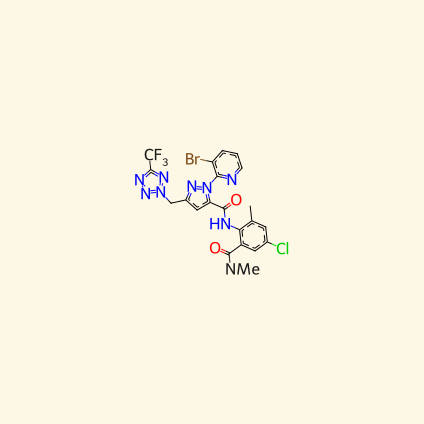 CNC(=O)c1cc(Cl)cc(C)c1NC(=O)c1cc(Cn2nnc(C(F)(F)F)n2)nn1-c1ncccc1Br